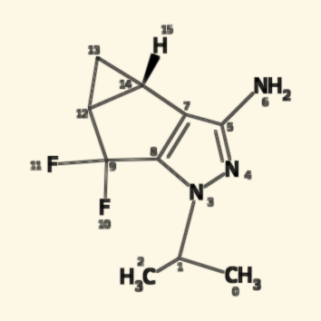 CC(C)n1nc(N)c2c1C(F)(F)C1C[C@H]21